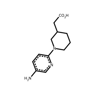 Nc1ccc(N2CCCC(CC(=O)O)C2)nc1